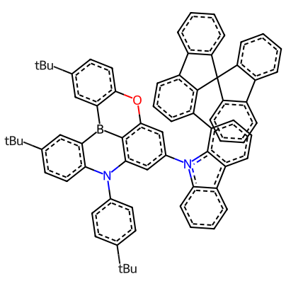 CC(C)(C)c1ccc(N2c3ccc(C(C)(C)C)cc3B3c4cc(C(C)(C)C)ccc4Oc4cc(-n5c6ccccc6c6cccc(-c7cccc8c7C7(c9ccccc9-c9ccccc97)c7ccccc7-8)c65)cc2c43)cc1